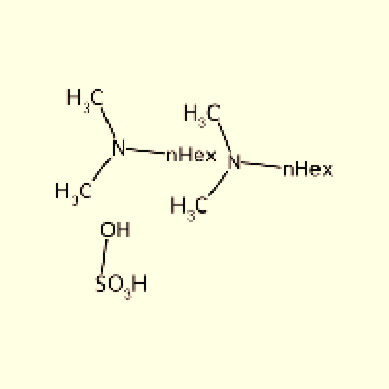 CCCCCCN(C)C.CCCCCCN(C)C.O=S(=O)(O)O